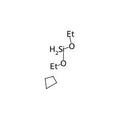 C1CCC1.CCO[SiH2]OCC